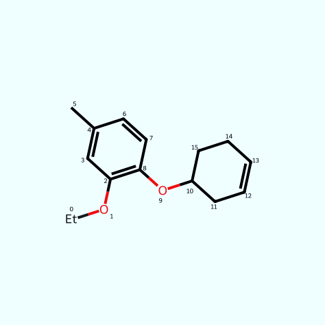 CCOc1cc(C)ccc1OC1CC=CCC1